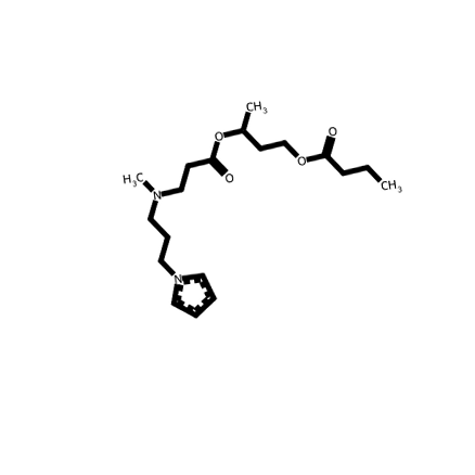 CCCC(=O)OCCC(C)OC(=O)CCN(C)CCCn1cccc1